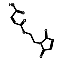 O=C(O)/C=C\C(=O)OCCN1C(=O)C=CC1=O